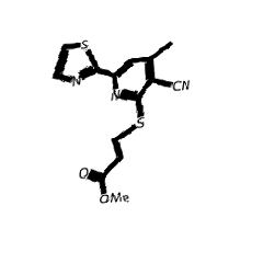 COC(=O)CCSc1nc(-c2nccs2)cc(C)c1C#N